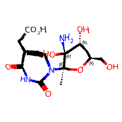 C[C@@]1(n2cc(CC(=O)O)c(=O)[nH]c2=O)O[C@H](CO)[C@@H](O)[C@@]1(N)O